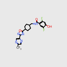 O=C(NCC1CCC(c2nc(-c3cnc(C(F)(F)F)cn3)no2)CC1)c1cc(F)c(O)cc1F